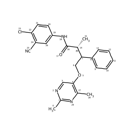 Cc1ncc(OCC(c2ccccc2)[C@@H](C)C(=O)Nc2ccc(Cl)c(C#N)c2)c(C)n1